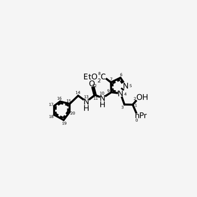 CCCC(O)Cn1ncc(C(=O)OCC)c1NC(=O)NCc1ccccc1